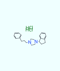 Cl.Cl.c1ccc(CCCN2CCN([C@H]3CCc4ccccc43)CC2)cc1